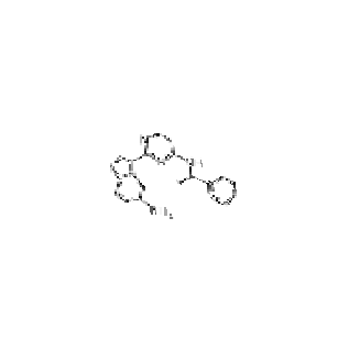 C[C@@H](Nc1ccnc(-c2cnc3ccc(N)cn23)n1)c1ccccc1